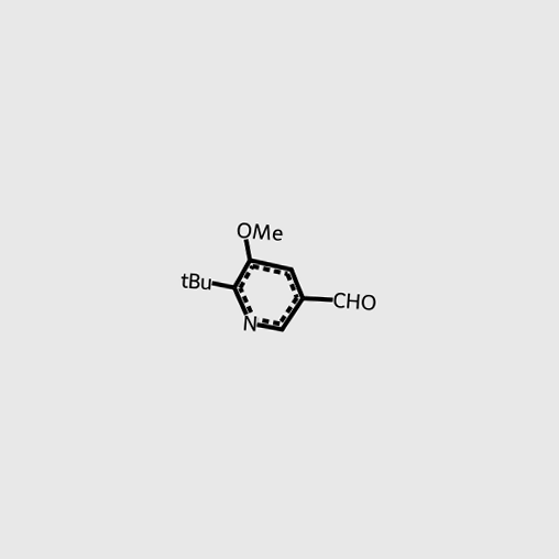 COc1cc(C=O)cnc1C(C)(C)C